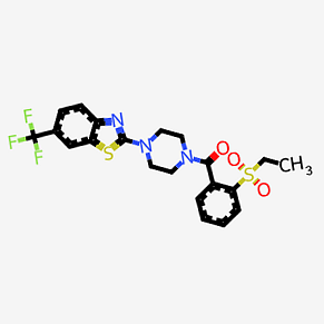 CCS(=O)(=O)c1ccccc1C(=O)N1CCN(c2nc3ccc(C(F)(F)F)cc3s2)CC1